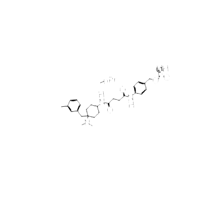 CCCC.Cc1cccc(CC2(N(C)C)CCC(NC(=O)CCC(=O)Nc3ccc(CO[PH](=O)O)cc3)CC2)c1